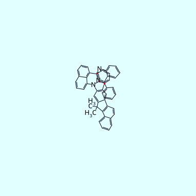 CC1(C)c2cc3c(cc2-c2ccc4ccccc4c21)c1ccccc1n3-c1cccc2cccc(-c3nc(-c4ccccc4)c4ccccc4n3)c12